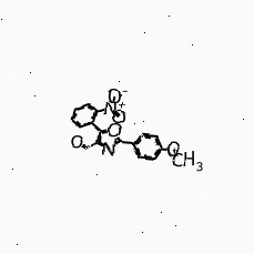 COc1ccc(-c2nc(C=O)c(-c3ccccc3[N+](=O)[O-])o2)cc1